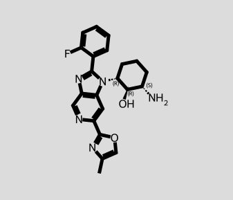 Cc1coc(-c2cc3c(cn2)nc(-c2ccccc2F)n3[C@@H]2CCC[C@H](N)[C@H]2O)n1